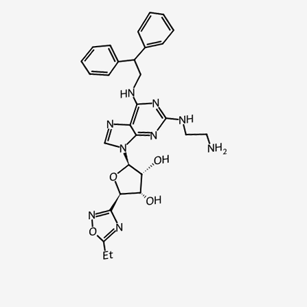 CCc1nc([C@H]2O[C@@H](n3cnc4c(NCC(c5ccccc5)c5ccccc5)nc(NCCN)nc43)[C@H](O)[C@@H]2O)no1